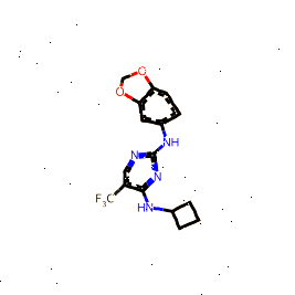 FC(F)(F)c1cnc(Nc2ccc3c(c2)OCO3)nc1NC1CCC1